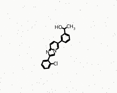 CC(O)c1cccc(-c2ccc3nc(-c4ccccc4Cl)cn3c2)c1